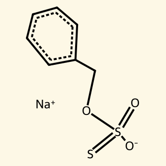 O=S([O-])(=S)OCc1ccccc1.[Na+]